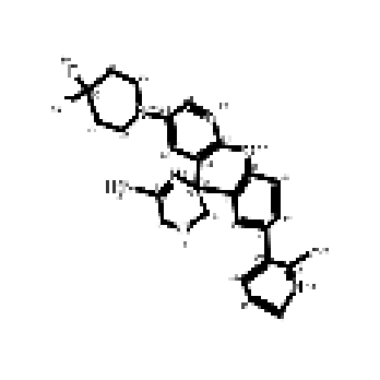 NC1=N[C@@]2(COC1)c1cc(-c3cccnc3F)ccc1Oc1ncc(N3CCC(F)(F)CC3)cc12